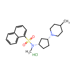 CC1CCN([C@@H]2CC[C@H](N(C)S(=O)(=O)c3cccc4ccccc34)C2)CC1.Cl